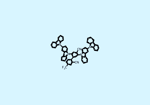 N#Cc1cc(C(F)(F)F)ccc1-c1cc(-n2c3ccccc3c3cc(-n4c5ccccc5c5ccccc54)ccc32)c(C#N)cc1-n1c2ccccc2c2cc(-n3c4ccccc4c4ccccc43)ccc21